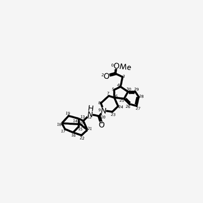 COC(=O)CC1CC2(CCN(C(=O)NC3C4CC5CC(C4)CC3C5)CC2)c2ccccc21